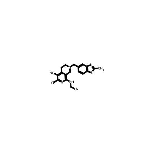 Cc1nc2cc(CN3CCc4c(C#N)c(Cl)nc(NCC#N)c4C3)ccc2s1